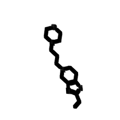 CCc1nc2c(s1)CCN(CCCN1CCOCC1)C2